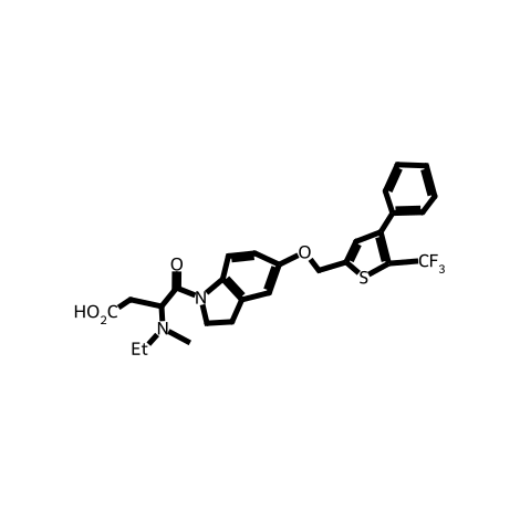 CCN(C)C(CC(=O)O)C(=O)N1CCc2cc(OCc3cc(-c4ccccc4)c(C(F)(F)F)s3)ccc21